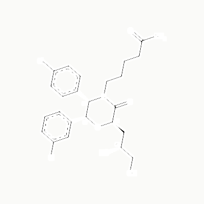 NC(=O)CCCCN1C(=O)[C@@H](C[C@@H](O)CO)O[C@H](c2cccc(Cl)c2)[C@@H]1c1ccc(Cl)cc1